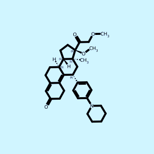 COCC(=O)[C@@]1(OC)CC[C@H]2[C@@H]3CCC4=CC(=O)CCC4=C3[C@@H](c3ccc(N4CCCCC4)cc3)C[C@@]21C